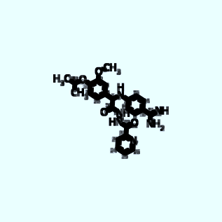 COc1cc(C(Nc2ccc(C(=N)N)cc2)C(=O)NNC(=O)c2ccccn2)ccc1OC(C)C